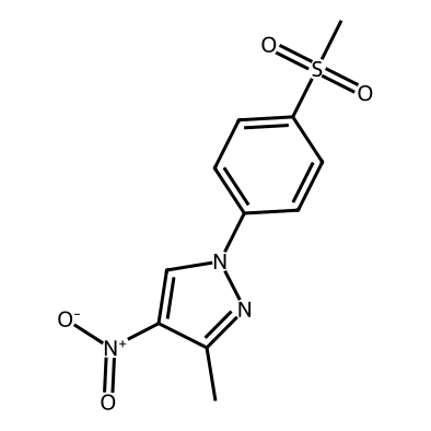 Cc1nn(-c2ccc(S(C)(=O)=O)cc2)cc1[N+](=O)[O-]